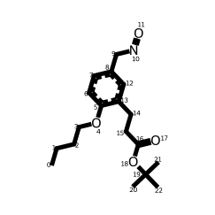 CCCCOc1ccc(CN=O)cc1CCC(=O)OC(C)(C)C